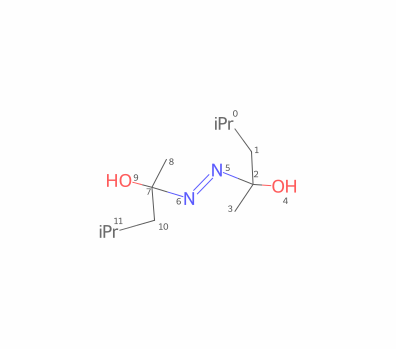 CC(C)CC(C)(O)N=NC(C)(O)CC(C)C